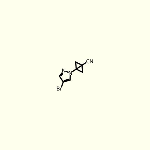 N#CC12CC1(n1cc(Br)cn1)C2